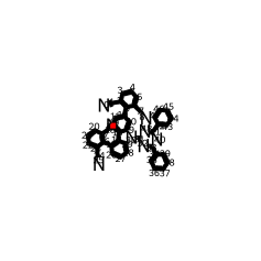 N#Cc1cccc(C#N)c1-c1ccc2c3c(-c4c(C#N)cccc4C#N)cccc3n(-c3nc(-c4ccccc4)nc(-c4ccccc4)n3)c2c1